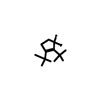 CC(C)(C)C1=C(C(C)(C)C)C(F)(F)CC1